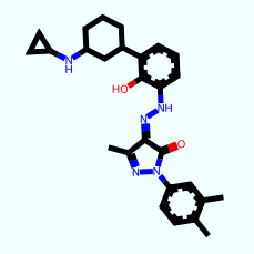 CC1=NN(c2ccc(C)c(C)c2)C(=O)C1=NNc1cccc(C2CCCC(NC3CC3)C2)c1O